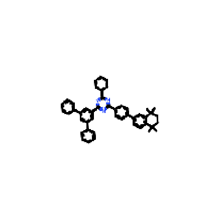 CC1(C)CCC(C)(C)c2cc(-c3ccc(-c4nc(-c5ccccc5)nc(-c5cc(-c6ccccc6)cc(-c6ccccc6)c5)n4)cc3)ccc21